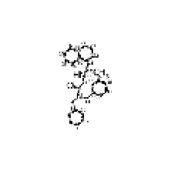 C[C@@H](NCC(=O)N(Cc1ccccc1)Cc1ccccc1)c1cccc2ccccc12